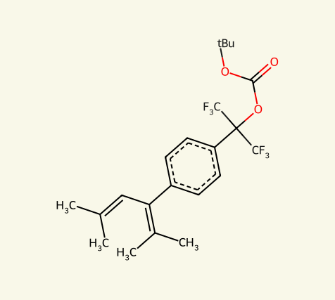 CC(C)=CC(=C(C)C)c1ccc(C(OC(=O)OC(C)(C)C)(C(F)(F)F)C(F)(F)F)cc1